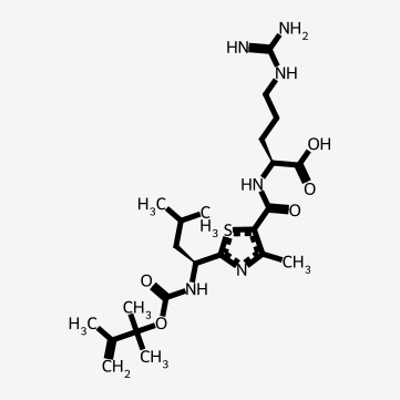 C=C(C)C(C)(C)OC(=O)N[C@@H](CC(C)C)c1nc(C)c(C(=O)N[C@@H](CCCNC(=N)N)C(=O)O)s1